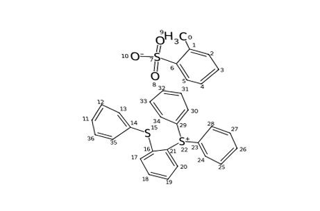 Cc1ccccc1S(=O)(=O)[O-].c1ccc(Sc2ccccc2[S+](c2ccccc2)c2ccccc2)cc1